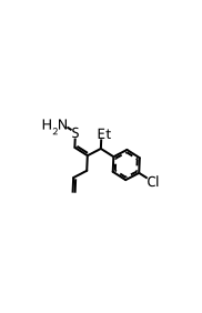 C=CC/C(=C/SN)C(CC)c1ccc(Cl)cc1